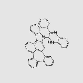 c1ccc(C2=Nc3ccccc3NC2n2c3ccccc3c3c4cccc5c4c(cc32)-c2ccccc2-c2ccccc2-5)cc1